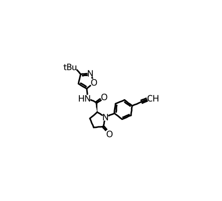 C#Cc1ccc(N2C(=O)CC[C@H]2C(=O)Nc2cc(C(C)(C)C)no2)cc1